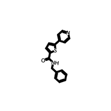 O=C(NCc1ccccc1)c1ccc(-c2ccncc2)s1